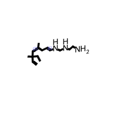 C=CC(C)(/C=C(/C)C/C=C/NCNCCN)CC